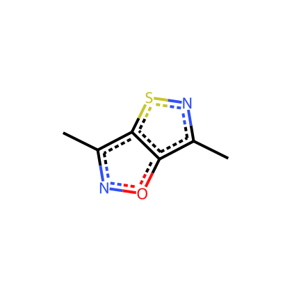 Cc1nsc2c(C)noc12